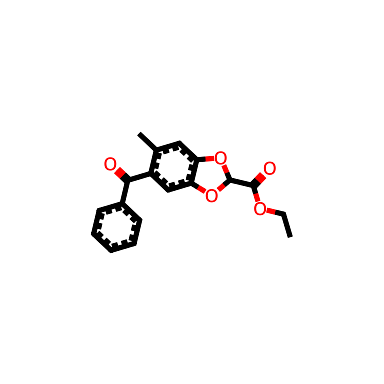 CCOC(=O)C1Oc2cc(C)c(C(=O)c3ccccc3)cc2O1